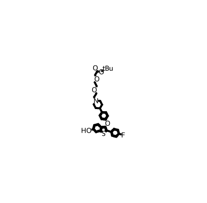 CC(C)(C)OC(=O)COCCOCCN1CCC(c2ccc(Oc3c(-c4ccc(F)cc4)sc4cc(O)ccc34)cc2)CC1